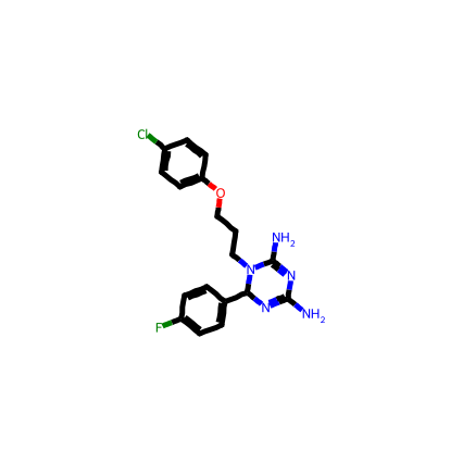 NC1=NC(c2ccc(F)cc2)N(CCCOc2ccc(Cl)cc2)C(N)=N1